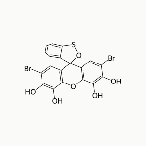 Oc1c(Br)cc2c(c1O)Oc1c(cc(Br)c(O)c1O)C21OSc2ccccc21